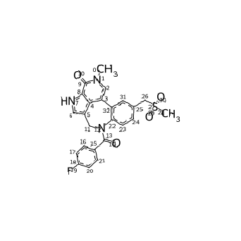 Cn1cc2c3c(c[nH]c3c1=O)CN(C(=O)c1ccc(F)cc1)c1ccc(CS(C)(=O)=O)cc1-2